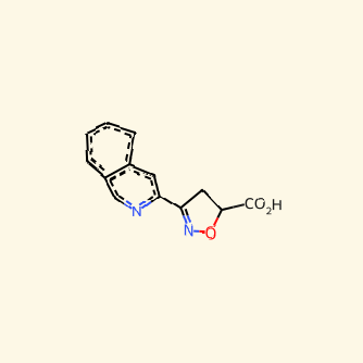 O=C(O)C1CC(c2cc3ccccc3cn2)=NO1